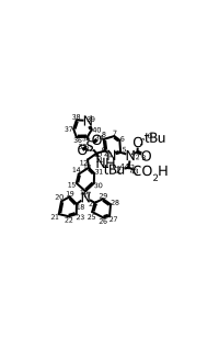 CC(C)(C)OC(=O)N(c1cccc(C(N)(Cc2ccc(N(c3ccccc3)c3ccccc3)cc2)S(=O)(=O)c2cccnc2)n1)C(C(=O)O)C(C)(C)C